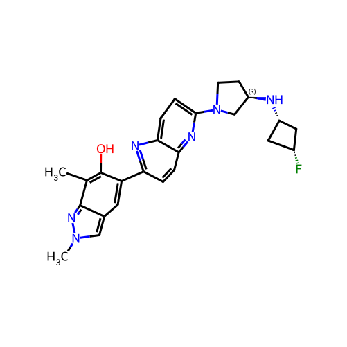 Cc1c(O)c(-c2ccc3nc(N4CC[C@@H](N[C@H]5C[C@@H](F)C5)C4)ccc3n2)cc2cn(C)nc12